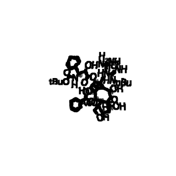 CC(=O)O[C@@]12CO[C@@H]1C[C@H](O)[C@@]1(C)C(=O)[C@H](O)C3=C(C)[C@@H](OC(=O)C(O)[C@@H](NC(=O)OC(C)(C)C)c4ccccc4)C[C@@](O)([C@@H](OC(=O)c4ccccc4)[C@H]21)C3(C)C.CCCCNC(=N)NC(=N)N.Cl